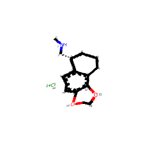 CNC[C@@H]1CCCc2c1ccc1c2OCO1.Cl